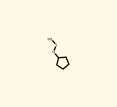 SSOC1CCCC1